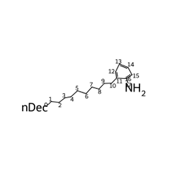 CCCCCCCCCCCCCCCCCCCCc1ccccc1N